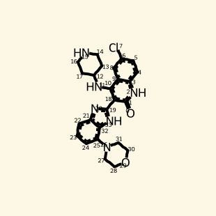 O=c1[nH]c2ccc(Cl)cc2c(NC2CCNCC2)c1-c1nc2cccc(N3CCOCC3)c2[nH]1